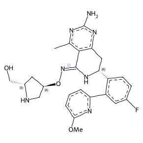 COc1cccc(-c2cc(F)ccc2[C@H]2Cc3nc(N)nc(C)c3/C(=N/O[C@H]3CN[C@H](CO)C3)N2)n1